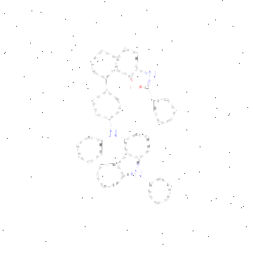 c1ccc(-c2nc3ccc4cccc(-c5ccc(N(c6ccccc6)c6cccc7c6c6ccccc6n7-c6ccccc6)cc5)c4c3o2)cc1